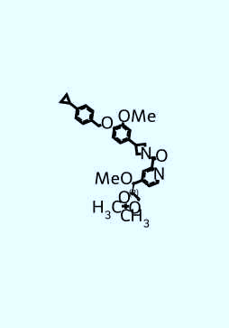 COc1cc(C2CN(C(=O)c3cc(C(OC)[C@H]4COC(C)(C)O4)ccn3)C2)ccc1OCc1ccc(C2CC2)cc1